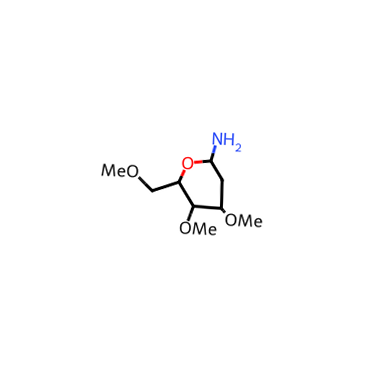 COCC1OC(N)CC(OC)C1OC